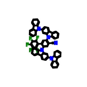 N#Cc1cc(-n2c3ccccc3c3ccc(-n4c5ccccc5c5ccccc54)cc32)c(-c2c(F)c(F)c(F)c(F)c2F)cc1-n1c2ccccc2c2ccc(-n3c4ccccc4c4ccccc43)cc21